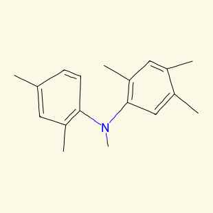 Cc1ccc(N(C)c2cc(C)c(C)cc2C)c(C)c1